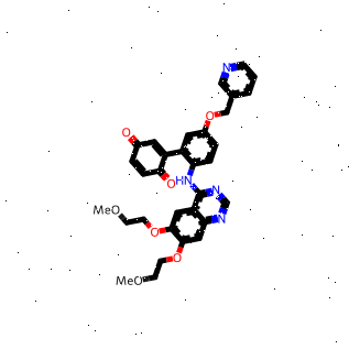 COCCOc1cc2ncnc(Nc3ccc(OCc4cccnc4)cc3C3=CC(=O)C=CC3=O)c2cc1OCCOC